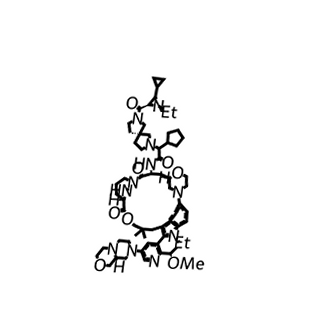 CCN1C(C2CC2)[C@@H]1C(=O)N1CC[C@]2(CCN(C(C(=O)N[C@H]3C[C@H]4CN(CCO4)c4ccc5c(c4)c(c(-c4cc(N6CCN7CCOC[C@@H]7C6)cnc4[C@H](C)OC)n5CC)CC(C)(C)COC(=O)[C@@H]4CCCN(N4)C3=O)C3CCCC3)C2)C1